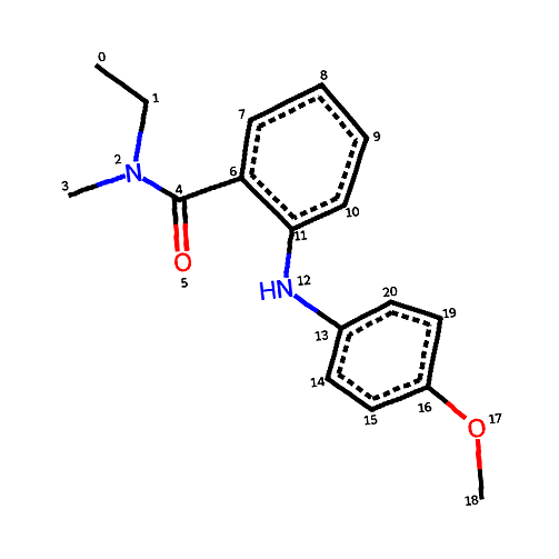 CCN(C)C(=O)c1ccccc1Nc1ccc(OC)cc1